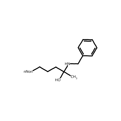 CCCCCCCCCCCCC(C)(O)NCc1ccccc1